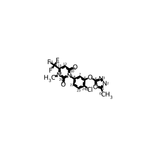 Cc1nnc(Oc2cc(-n3c(=O)cc(C(F)(F)F)n(C)c3=O)ccc2Cl)o1